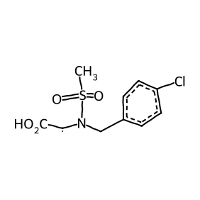 CS(=O)(=O)N([CH]C(=O)O)Cc1ccc(Cl)cc1